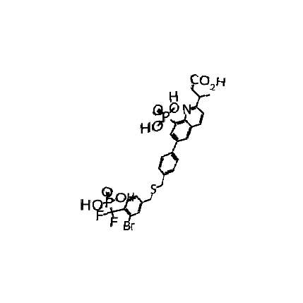 CC(CC(=O)O)c1ccc2cc(-c3ccc(CSCc4ccc(C(F)(F)P(=O)(O)O)c(Br)c4)cc3)cc(P(=O)(O)O)c2n1